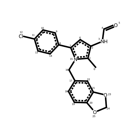 Cc1c(NC=O)cc(-c2ccc(Cl)cc2)n1Cc1ccc2c(c1)OCO2